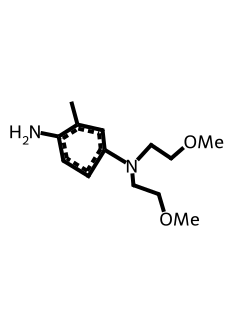 COCCN(CCOC)c1ccc(N)c(C)c1